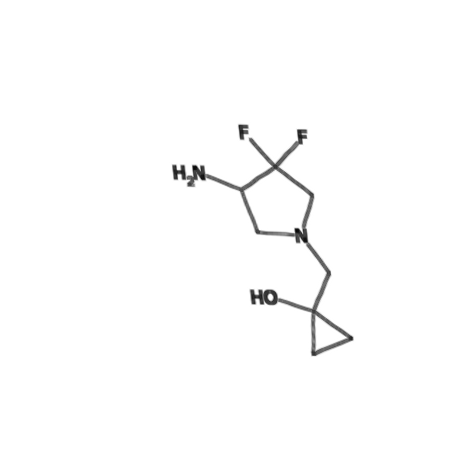 NC1CN(CC2(O)CC2)CC1(F)F